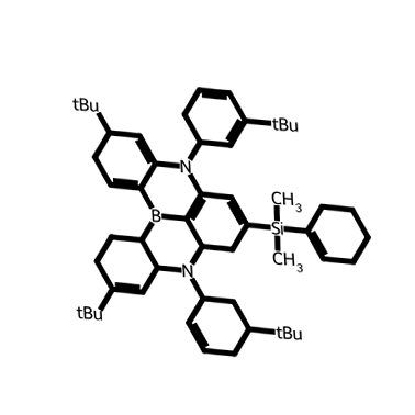 CC(C)(C)C1=CC(N2C3=CC(C(C)(C)C)CC=C3B3C4=C2C=C([Si](C)(C)C2=CCCCC2)CC4N(C2C=CCC(C(C)(C)C)C2)C2C=C(C(C)(C)C)CCC32)CC=C1